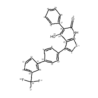 O=c1[nH]c2scc(-c3ccc(-c4cccc(C(F)(F)F)c4)cc3)c2c(O)c1-c1ccccc1